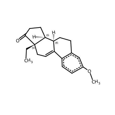 CC[C@]12CC=C3c4ccc(OC)cc4CC[C@@H]3[C@@H]1CCC2=O